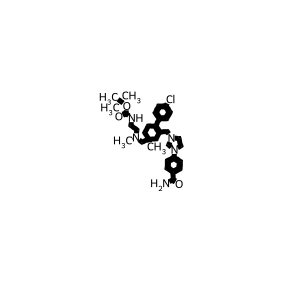 CN(CCNC(=O)OC(C)(C)C)CC1(C)CCC(c2ccc(Cl)cc2)=C(CN2CCN(c3ccc(C(N)=O)cc3)C2)C1